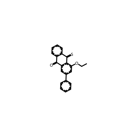 CCOc1cc(-c2ccccc2)cc2c1C(=S)c1ccccc1C2=O